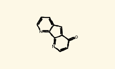 O=C1C=CN=C2C1=Cc1cccnc12